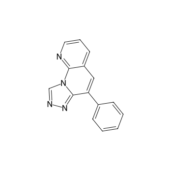 c1ccc(-c2cc3cccnc3n3cnnc23)cc1